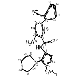 Cn1ncc(NC(=O)c2nc(-c3ccccc3F)ccc2N)c1N1CCCCCC1